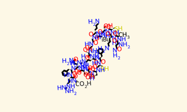 CC[C@H](C)[C@H](NC(=O)[C@H](CO)NC(=O)[C@H](CS)NC(=O)[C@H](CCCCN)NC(=O)[C@H](C)NC(=O)[C@@H](N)CC(N)=O)C(=O)N[C@@H](CCCCN)C(=O)NCC(=O)NCC(=O)N[C@@H](CO)C(=O)N[C@@H](CCCNC(=N)N)C(=O)N[C@@H](Cc1ccccc1)C(=O)N[C@@H](CS)C(=O)N[C@@H](CC(C)C)C(=O)N[C@@H](CO)C(=O)N[C@@H](CO)C(=O)N[C@@H](CCC(N)=O)C(=O)N[C@@H](Cc1ccccc1)C(=O)N[C@@H](CCCNC(=N)N)C(=O)NCC(=O)O